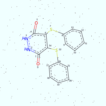 O=c1[nH][nH]c(=O)c(Sc2ccccc2)c1Sc1ccccc1